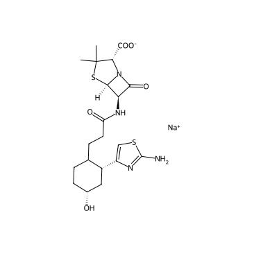 CC1(C)S[C@@H]2[C@H](NC(=O)CCC3CC[C@@H](O)C[C@H]3c3csc(N)n3)C(=O)N2[C@H]1C(=O)[O-].[Na+]